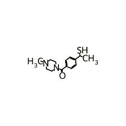 CC(S)c1ccc(C(=O)N2CCN(C)CC2)cc1